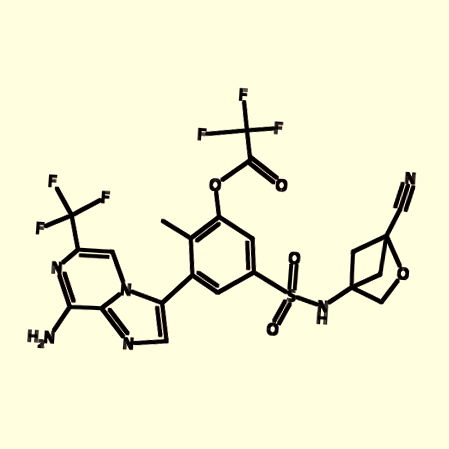 Cc1c(OC(=O)C(F)(F)F)cc(S(=O)(=O)NC23COC(C#N)(C2)C3)cc1-c1cnc2c(N)nc(C(F)(F)F)cn12